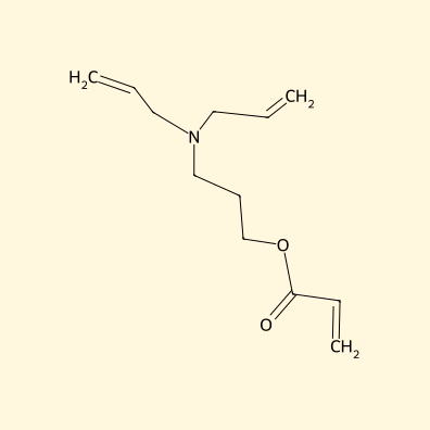 C=CCN(CC=C)CCCOC(=O)C=C